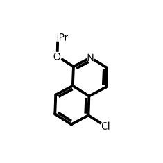 CC(C)Oc1nccc2c(Cl)cccc12